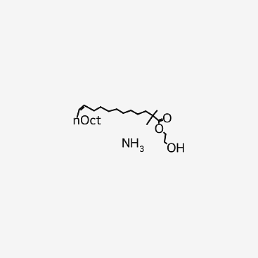 CCCCCCCC/C=C\CCCCCCCCC(C)(C)C(=O)OCCO.N